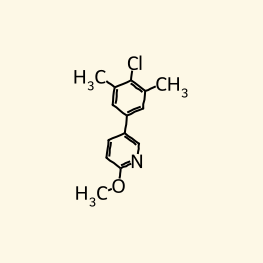 COc1ccc(-c2cc(C)c(Cl)c(C)c2)cn1